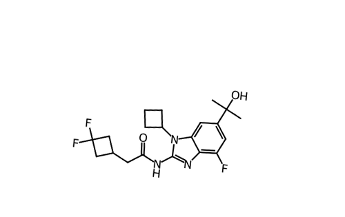 CC(C)(O)c1cc(F)c2nc(NC(=O)CC3CC(F)(F)C3)n(C3CCC3)c2c1